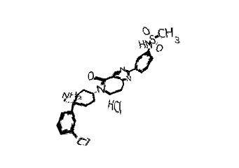 CS(=O)(=O)Nc1cccc(-c2ncc3c(n2)CCN([C@H]2CC[C@](CN)(c4cccc(Cl)c4)CC2)C3=O)c1.Cl